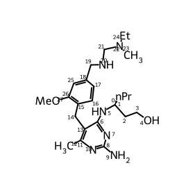 CCC[C@@H](CCO)Nc1nc(N)nc(C)c1Cc1ccc(CNCN(C)CC)cc1OC